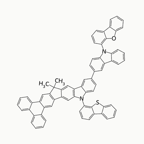 CC1(C)c2cc3c4ccccc4c4ccccc4c3cc2-c2cc3c(cc21)c1cc(-c2ccc4c(c2)c2ccccc2n4-c2cccc4c2oc2ccccc24)ccc1n3-c1cccc2c1sc1ccccc12